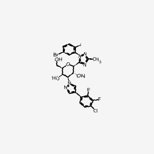 Cc1nc([C@@H]2O[C@H](CO)[C@H](O)[C@H](n3cc(-c4ccc(Cl)c(F)c4F)cn3)[C@H]2O)n(-c2cc(Br)ccc2I)n1